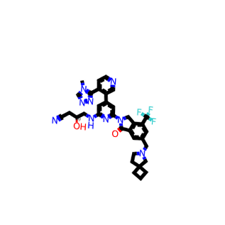 Cn1cnnc1-c1ccncc1-c1cc(NC[C@@H](O)CC#N)nc(N2Cc3c(cc(CN4CCC5(CCC5)C4)cc3C(F)(F)F)C2=O)c1